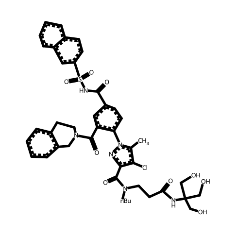 CCCCN(CCC(=O)NC(CO)(CO)CO)C(=O)c1nn(-c2ccc(C(=O)NS(=O)(=O)c3ccc4ccccc4c3)cc2C(=O)N2CCc3ccccc3C2)c(C)c1Cl